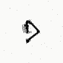 O=C(CCOCCOCCOCCOCCn1cc(COCCOCCOCCOCCn2ccc(C(=O)N3CCCC4(C3)CN(c3nc(Cl)nc5c3cnn5[C@@H]3O[C@H](COCP(=O)(O)O)[C@@H](O)[C@H]3O)C4)n2)nn1)Oc1c(F)cc(F)cc1F